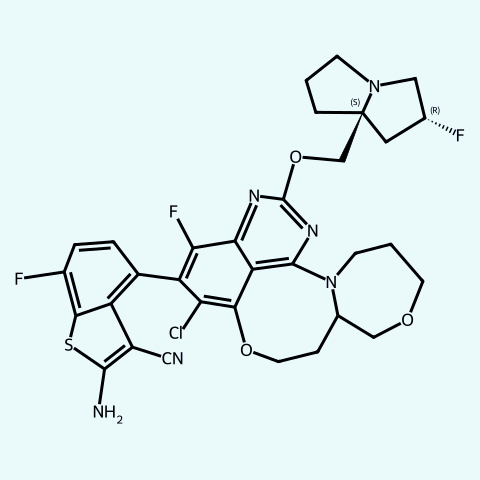 N#Cc1c(N)sc2c(F)ccc(-c3c(Cl)c4c5c(nc(OC[C@@]67CCCN6C[C@H](F)C7)nc5c3F)N3CCCOCC3CCO4)c12